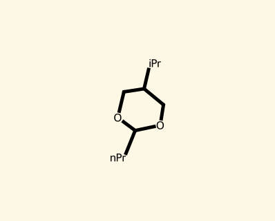 CCCC1OCC(C(C)C)CO1